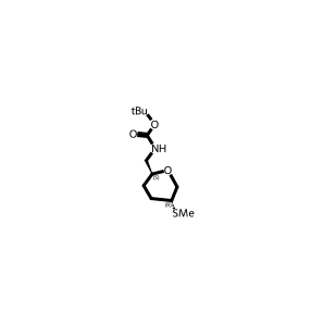 CS[C@@H]1CC[C@@H](CNC(=O)OC(C)(C)C)OC1